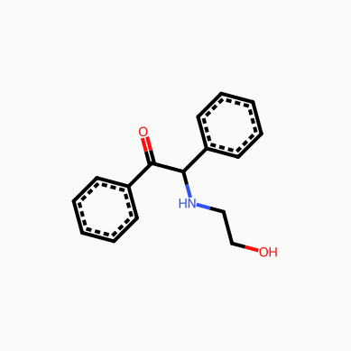 O=C(c1ccccc1)C(NCCO)c1ccccc1